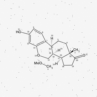 COC.C[C@]12CC[C@@H]3c4ccc(O)cc4OC[C@@H]3[C@@H]1CCC2=O